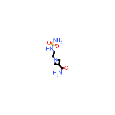 NC(=O)C1CN(CCNS(N)(=O)=O)C1